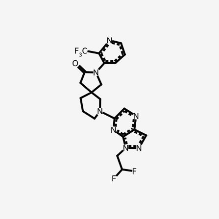 O=C1CC2(CCCN(c3cnc4cnn(CC(F)F)c4n3)C2)CN1c1cccnc1C(F)(F)F